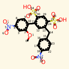 COc1cc([N+](=O)[O-])ccc1-c1cc([CH]c2ccc([N+](=O)[O-])cc2)c(S(=O)(=O)O)cc1S(=O)(=O)O